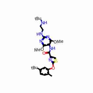 COc1nc(NCCNC(C)(C)C)nc(OC)c1NC(=O)c1csc(Oc2cc(C(C)(C)C)ccc2C)n1